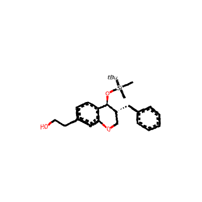 CC(C)(C)[Si](C)(C)O[C@@H]1c2ccc(CCO)cc2OC[C@H]1Cc1ccccc1